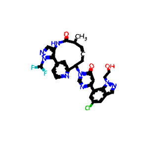 CC1CCCC(n2cnc(-c3cc(Cl)cc4cnn(CCO)c34)cc2=O)c2cc(ccn2)-c2c(cnn2C(F)F)NC1=O